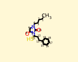 CCCCCN1CC(=O)N(C(S)CCc2ccccc2)C1=O